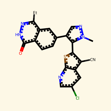 CCc1n[nH]c(=O)c2ccc(-c3cnn(C)c3-c3sc4ncc(Cl)cc4c3C#N)cc12